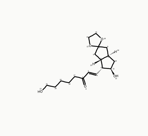 O=C(C=C[C@@H]1[C@@H]2CC3(C[C@H]2C[C@H]1O)OCCO3)CCCCCO